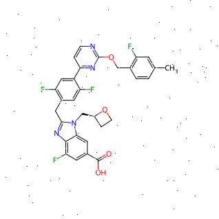 Cc1ccc(COc2nccc(-c3cc(F)c(Cc4nc5c(F)cc(C(=O)O)cc5n4C[C@@H]4CCO4)cc3F)n2)c(F)c1